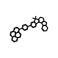 CC1(C)C2=C(C3=C(CC2)CC2=C3C=CCC2)c2ccc(-c3ccc(-c4ccc5ccc6cccc7ccc4c5c67)cc3)cc21